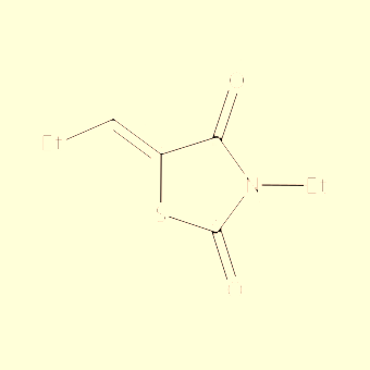 CC/C=C1\SC(=O)N(CC)C1=O